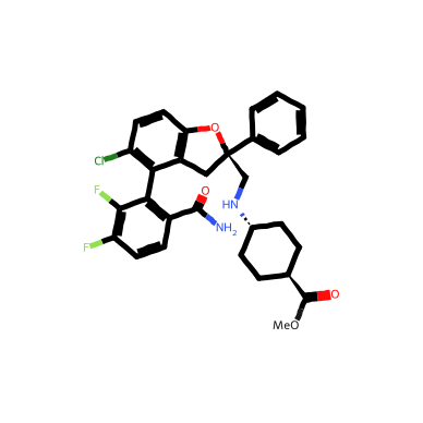 COC(=O)[C@H]1CC[C@H](NC[C@@]2(c3ccccc3)Cc3c(ccc(Cl)c3-c3c(C(N)=O)ccc(F)c3F)O2)CC1